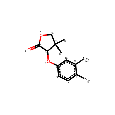 [C-]#[N+]c1ccc(OC2C(=O)OCC2(C)C)cc1C(F)(F)F